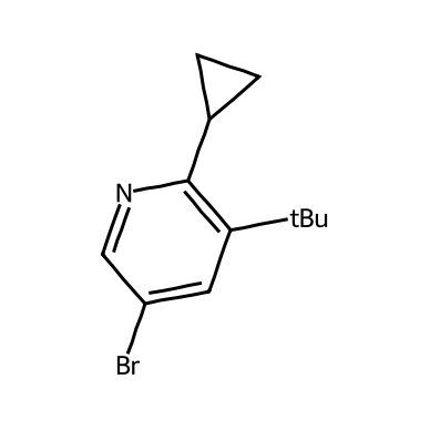 CC(C)(C)c1cc(Br)cnc1C1CC1